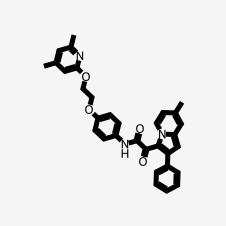 Cc1cc(C)nc(OCCOc2ccc(NC(=O)C(=O)c3c(-c4ccccc4)cc4cc(C)ccn34)cc2)c1